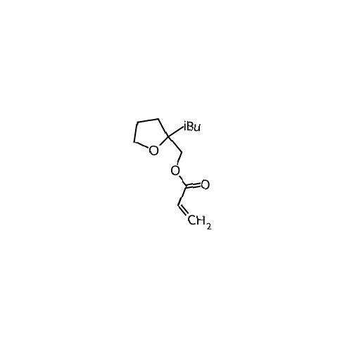 C=CC(=O)OCC1(C(C)CC)CCCO1